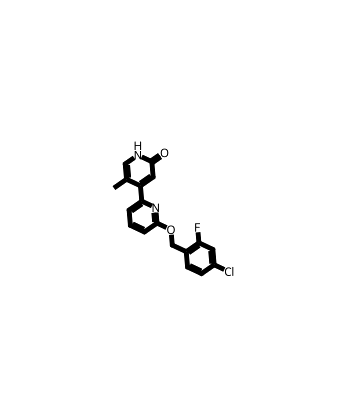 Cc1c[nH]c(=O)cc1-c1cccc(OCc2ccc(Cl)cc2F)n1